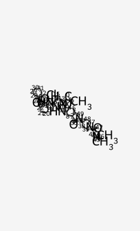 CC(C)Oc1cc2c(cc1Nc1ncc(Cl)c(Nc3ccccc3S(=O)(=O)C3CCCCC3)n1)C(=O)N(C1CCN(C(=O)CN(C)C)CC1)C2